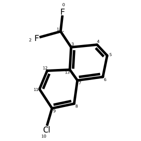 F[C](F)c1cccc2cc(Cl)ccc12